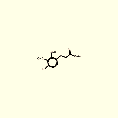 COC(=O)CCc1ccc(Br)c(C=O)c1OC